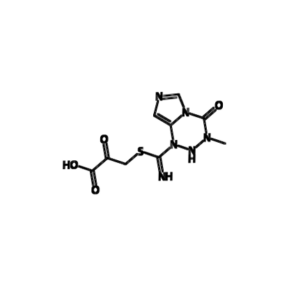 CN1NN(C(=N)SCC(=O)C(=O)O)c2cncn2C1=O